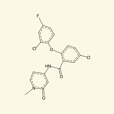 [CH2]n1ccc(NC(=O)c2cc(Cl)ccc2Oc2ccc(F)cc2Cl)cc1=O